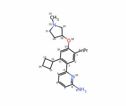 CCCc1cc(-c2cccc(N)n2)c(C2CCC2)cc1OC1CCN(C)C1